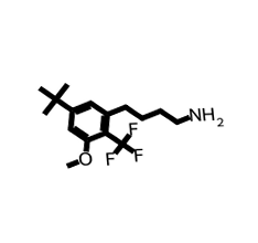 COc1cc(C(C)(C)C)cc(CCCCN)c1C(F)(F)F